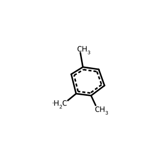 [CH2]c1cc(C)ccc1C